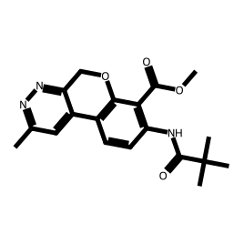 COC(=O)c1c(NC(=O)C(C)(C)C)ccc2c1OCc1nnc(C)cc1-2